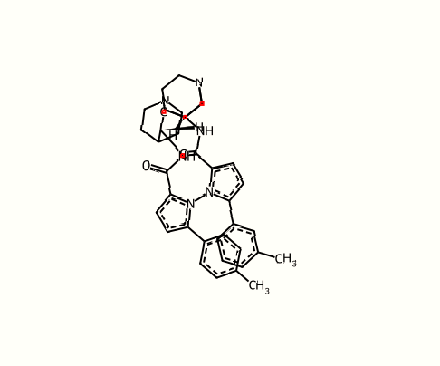 Cc1ccc(-c2ccc(C(=O)N[C@H]3CN4CCC3CC4)n2-n2c(C(=O)N[C@H]3CN4CCC3CC4)ccc2-c2cccc(C)c2)cc1